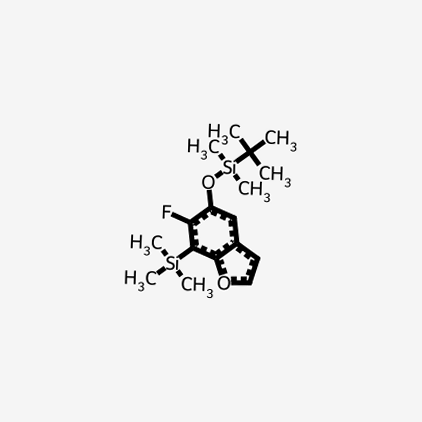 CC(C)(C)[Si](C)(C)Oc1cc2ccoc2c([Si](C)(C)C)c1F